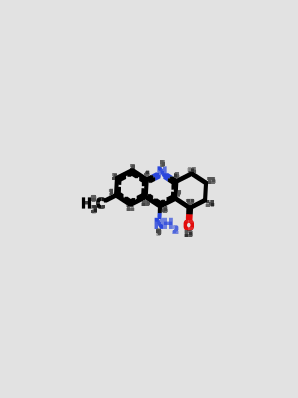 Cc1ccc2nc3c(c(N)c2c1)C(=O)CCC3